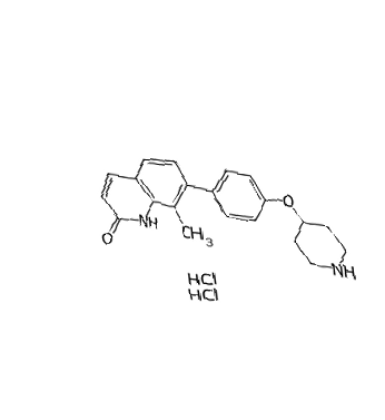 Cc1c(-c2ccc(OC3CCNCC3)cc2)ccc2ccc(=O)[nH]c12.Cl.Cl